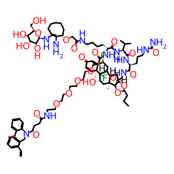 C=Cc1ccccc1CN(C(=O)CCC(=O)NCCOCCOCCOCCOCCC(=O)N[C@H](CCCCNC(=O)COC1CCCCC/C(N[C@@H]2O[C@H](CO)[C@H](O)[C@H](O)[C@H]2O)=C\1N)C(=O)N[C@H](C(=O)N[C@@H](CCCNC(N)=O)C(=O)NCC(=O)[C@@]12OC(CCC)O[C@@H]1C[C@H]1[C@@H]3C[C@H](F)C4=CC(=O)C=C[C@]4(C)[C@@]3(F)[C@@H](O)C[C@@]12C)C(C)C)c1ccccc1CC